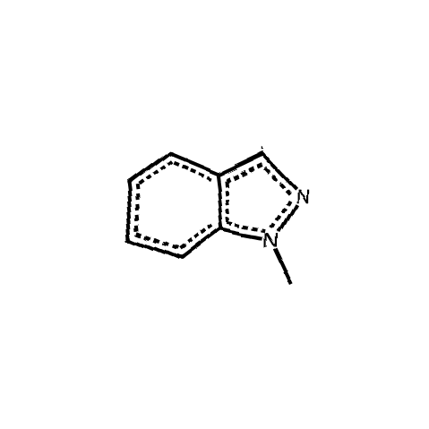 Cn1n[c]c2ccccc21